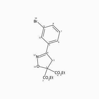 CCOC(=O)C1(C(=O)OCC)CC(c2cccc(Br)c2)=NO1